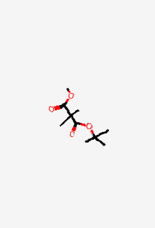 COC(=O)C(C)(C)C(=O)OC(C)(C)C